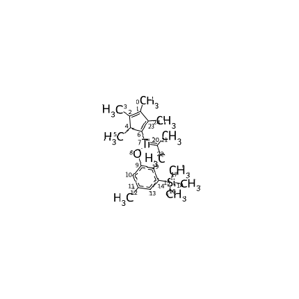 CC1=C(C)C(C)[C]([Ti]([O]c2cc(C)cc([Si](C)(C)C)c2)=[C](C)C)=C1C